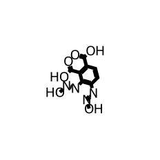 O=C(O)c1ccc(N=NO)c(N=NO)c1C(=O)O